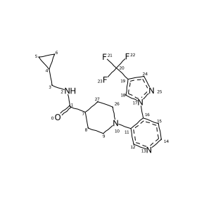 O=C(NCC1CC1)C1CCN(c2cnccc2-n2cc(C(F)(F)F)cn2)CC1